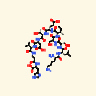 CC[C@H](C)[C@H](NC(=O)[C@H](CO)NC(=O)[C@H](CO)NC(=O)[C@H](CC(C)C)NC(=O)[C@@H](N)CCCCN)C(=O)N[C@@H](CCC(=O)O)C(=O)N[C@H](C(=O)N[C@@H](CC(=O)O)C(=O)N[C@H](C(=O)NCCC(=O)N[C@@H](Cc1c[nH]cn1)C(=O)O)C(C)C)[C@@H](C)O